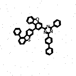 c1ccc(-c2ccc(-c3nc(-c4ccccc4)nc(-c4cc(-c5ccc6c(c5)sc5cccc(-c7ccccc7)c56)c5c(c4)oc4ccccc45)n3)cc2)cc1